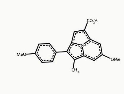 COc1ccc(-c2c(C)c3cc(OC)cc4c(C(=O)O)cc2n43)cc1